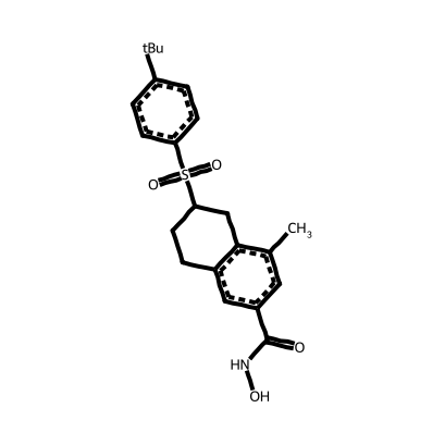 Cc1cc(C(=O)NO)cc2c1CC(S(=O)(=O)c1ccc(C(C)(C)C)cc1)CC2